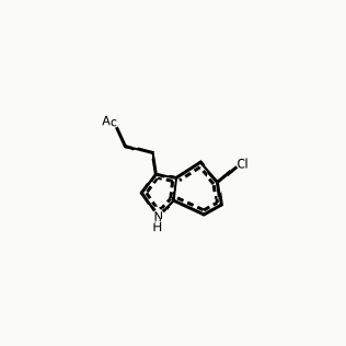 CC(=O)CCc1c[nH]c2ccc(Cl)cc12